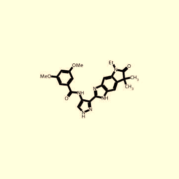 CCN1C(=O)C(C)(C)c2cc3[nH]c(-c4n[nH]cc4NC(=O)c4cc(OC)cc(OC)c4)nc3cc21